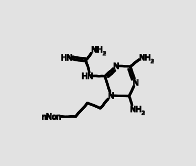 CCCCCCCCCCCCN1C(NC(=N)N)=NC(N)=NC1N